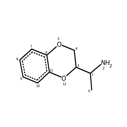 CC(N)C1COc2ccccc2O1